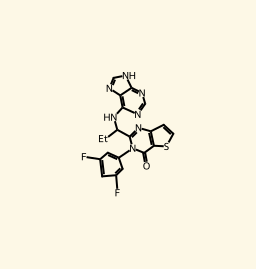 CCC(Nc1ncnc2[nH]cnc12)c1nc2ccsc2c(=O)n1-c1cc(F)cc(F)c1